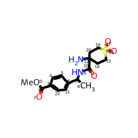 COC(=O)c1ccc(C(C)NC(=O)C2(N)CCS(=O)(=O)CC2)cc1